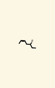 C/C=C\CC(F)CC